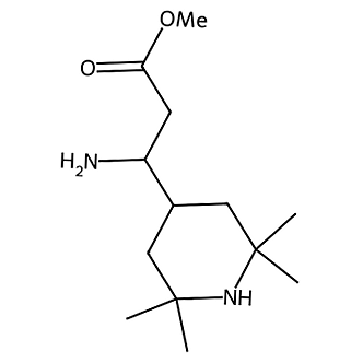 COC(=O)CC(N)C1CC(C)(C)NC(C)(C)C1